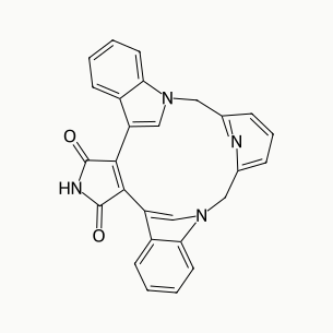 O=C1NC(=O)C2=C1c1cn(c3ccccc13)Cc1cccc(n1)Cn1cc2c2ccccc21